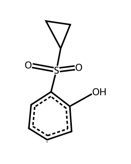 O=S(=O)(c1cc[c]cc1O)C1CC1